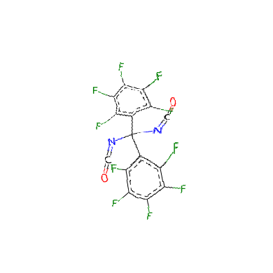 O=C=NC(N=C=O)(c1c(F)c(F)c(F)c(F)c1F)c1c(F)c(F)c(F)c(F)c1F